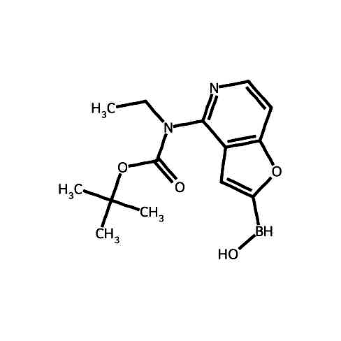 CCN(C(=O)OC(C)(C)C)c1nccc2oc(BO)cc12